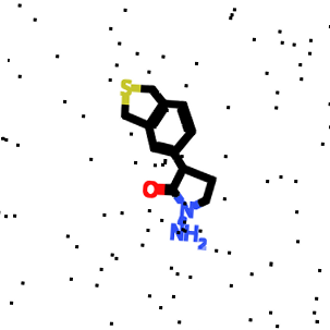 NN1CCC(c2ccc3c(c2)CSC3)C1=O